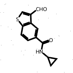 O=Cc1csc2ccc(C(=O)NC3CC3)cc12